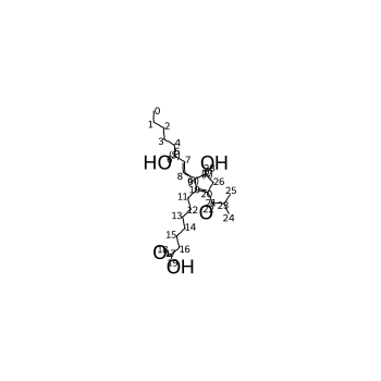 CCCCC[C@H](O)C=C[C@@H]1C(CCCCCCC(=O)O)=C(C(=O)C(C)C)C[C@H]1O